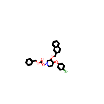 O=C(OCc1ccccc1)ON1CCC(Oc2ccc(Br)cc2)C(OCc2ccc3ccccc3c2)C1